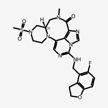 CN1C[C@H]2CN(S(C)(=O)=O)CCN2c2cnc(NCc3c(F)ccc4c3CCO4)n3cnc(c23)C1=O